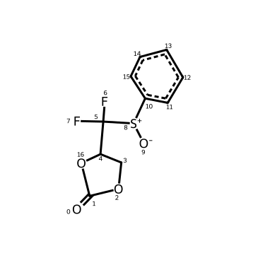 O=C1OCC(C(F)(F)[S+]([O-])c2ccccc2)O1